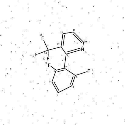 Fc1cccc(F)c1-c1ncccc1C(F)(F)F